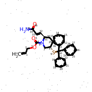 C=CCOC(=O)N1C[C@@H](SC(c2ccccc2)(c2ccccc2)c2ccccc2)CC[C@@H]1C=CC(N)=O